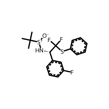 CC(C)(C)[S+]([O-])N[C@@H](c1cccc(F)c1)C(F)(F)Sc1ccccc1